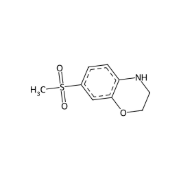 CS(=O)(=O)c1ccc2c(c1)OCCN2